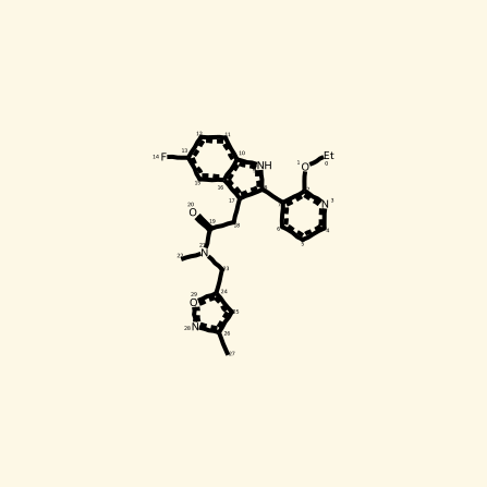 CCOc1ncccc1-c1[nH]c2ccc(F)cc2c1CC(=O)N(C)Cc1cc(C)no1